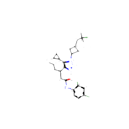 CC(C)(Cl)CC1CC(n2nnc(C(CCC(=O)O)CC(=O)Nc3ccc(Cl)cc3Cl)c2C2CC2)C1